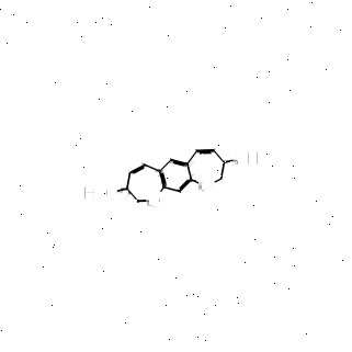 CC1C=Cc2cc3c(cc2OC1)OCC(C)C=C3